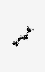 Nc1cc(CNCCc2ccc(O)c3[nH]c(=O)ccc23)c2c(c1N(N)CCCN1CCC(O)(COC(=O)C(O)(c3cccs3)c3cccs3)CC1)CCC2